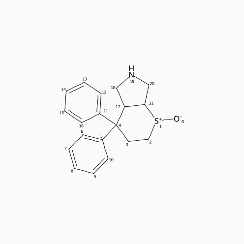 [O-][S+]1CCC(c2ccccc2)(c2ccccc2)C2CNCC21